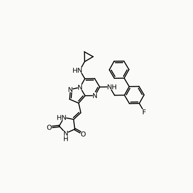 O=C1NC(=O)/C(=C/c2cnn3c(NC4CC4)cc(NCc4cc(F)ccc4-c4ccccc4)nc23)N1